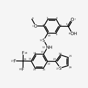 COc1ccc(C(=O)O)cc1SNc1cc(C(F)(F)F)ccc1-c1cccs1